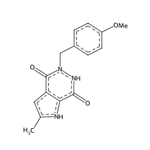 COc1ccc(Cn2[nH]c(=O)c3[nH]c(C)cc3c2=O)cc1